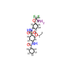 CCOc1cc(NC(=O)c2ccccc2)ccc1S(=O)(=O)Nc1cccc(OC(F)(F)P)c1